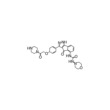 O=C(Nc1cccc2c1C(=O)c1c(C3=CCC(OCC(=O)N4CCNCC4)C=C3)n[nH]c1-2)NN1CCOCC1